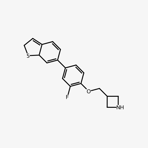 Fc1cc(C2=CC3SCC=C3C=C2)ccc1OCC1CNC1